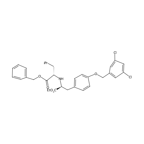 CCOC(=O)[C@H](Cc1ccc(OCc2cc(Cl)cc(Cl)c2)cc1)N[C@@H](CC(C)C)C(=O)OCc1ccccc1